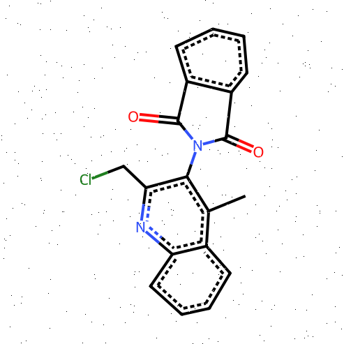 Cc1c(N2C(=O)c3ccccc3C2=O)c(CCl)nc2ccccc12